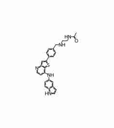 CC(=O)NCCNCc1ccc(-c2cc3nccc(Nc4ccc5[nH]ccc5c4)c3s2)cc1